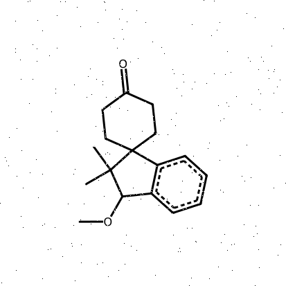 COC1c2ccccc2C2(CCC(=O)CC2)C1(C)C